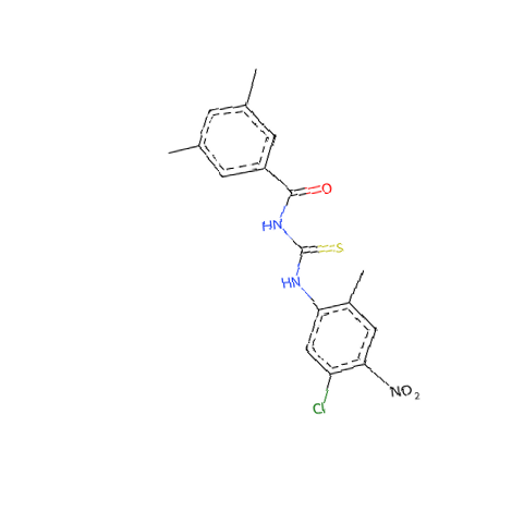 Cc1cc(C)cc(C(=O)NC(=S)Nc2cc(Cl)c([N+](=O)[O-])cc2C)c1